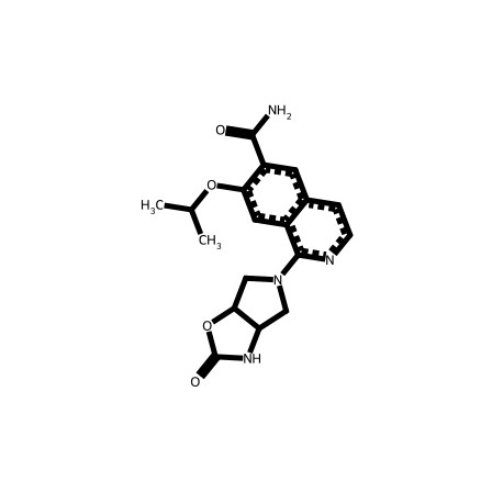 CC(C)Oc1cc2c(N3CC4NC(=O)OC4C3)nccc2cc1C(N)=O